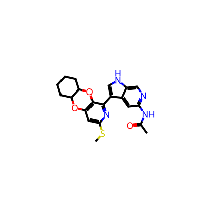 CSc1cc2c(c(-c3c[nH]c4cnc(NC(C)=O)cc34)n1)OC1CCCCC1O2